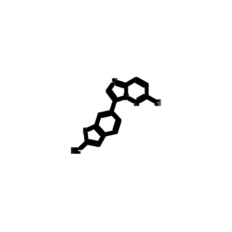 N#Cc1cc2ccc(-c3cnc4ccc(Cl)nn34)cc2s1